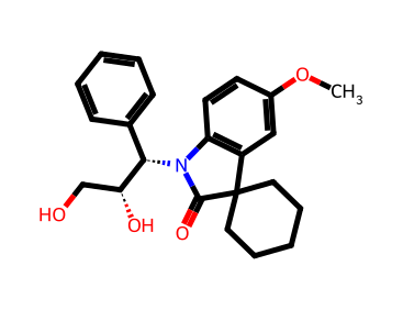 COc1ccc2c(c1)C1(CCCCC1)C(=O)N2[C@@H](c1ccccc1)[C@H](O)CO